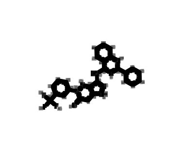 O=c1cc2[nH]nc(Nc3nc(-c4ccccc4)nc4ccccc34)c2nn1-c1cccc(C(F)(F)F)c1